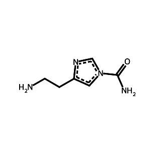 NCCc1cn(C(N)=O)cn1